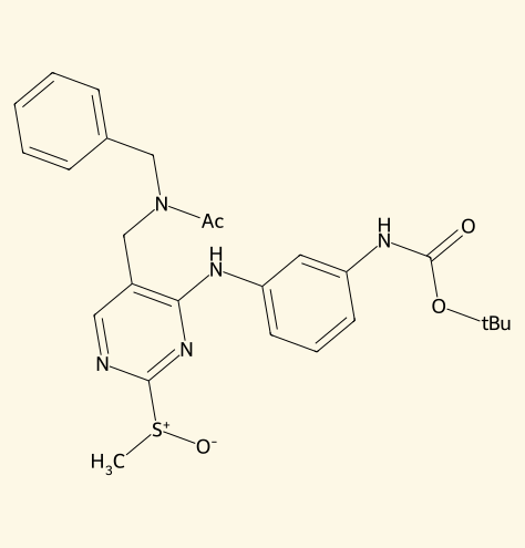 CC(=O)N(Cc1ccccc1)Cc1cnc([S+](C)[O-])nc1Nc1cccc(NC(=O)OC(C)(C)C)c1